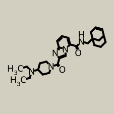 CCN(CC)C1CCN(C(=O)c2cn3c(C(=O)NCC45CC=CC(CCC4)C5)cccc3n2)CC1